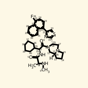 CN[C@@H](C)C(=O)N[C@H](C(=O)N1C[C@H]2CCCN2C[C@H]1c1nc(-c2ccc(F)c3ccccc23)cs1)C1CCCCC1